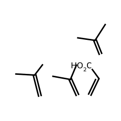 C=C(C)C.C=C(C)C.C=C(C)C.C=CC(=O)O